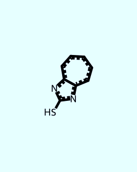 Sc1nc2cccccc-2n1